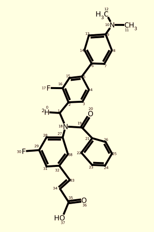 [2H]C(c1ccc(-c2ccc(N(C)C)cc2)cc1F)N(C(=O)c1ccccc1)c1cc(F)cc(/C=C/C(=O)O)c1